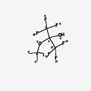 CC(C)(C)OC(O)(C(F)(F)F)C(F)(F)F